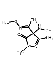 CON=C(C)C1(NO)C(=O)N(C)N=C1C